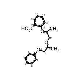 CC(COc1ccccc1)OCC(C)Oc1ccccc1C(=O)O